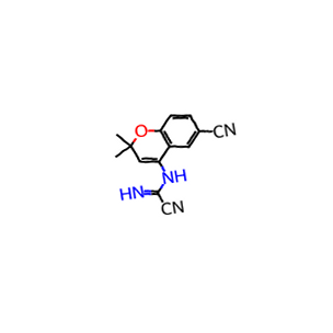 CC1(C)C=C(NC(=N)C#N)c2cc(C#N)ccc2O1